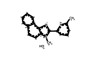 Cc1cccc(-c2nc3c4ccccc4ccc3n2C)n1.Cl